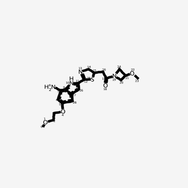 COCCOc1cc(N)c2[nH]c(C3=NCC(CC(=O)N4CC(OC)C4)S3)cc2c1